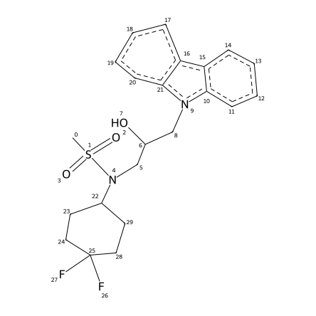 CS(=O)(=O)N(CC(O)Cn1c2ccccc2c2ccccc21)C1CCC(F)(F)CC1